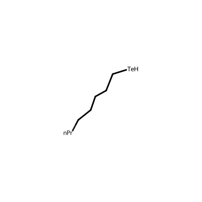 CCCCCCCC[TeH]